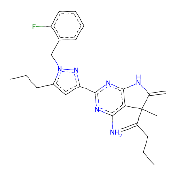 C=C(CCC)C1(C)C(=C)Nc2nc(-c3cc(CCC)n(Cc4ccccc4F)n3)nc(N)c21